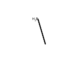 BCC#CC#CC#CC#CC#CC#CC#CC#CC#CC#CC#CC#CC#CC